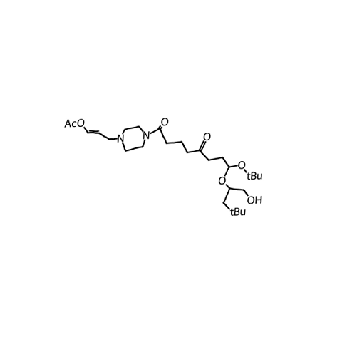 CC(=O)O/C=C/CN1CCN(C(=O)CCCC(=O)CCC(OC(CO)CC(C)(C)C)OC(C)(C)C)CC1